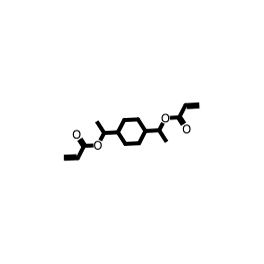 C=CC(=O)OC(C)C1CCC(C(C)OC(=O)C=C)CC1